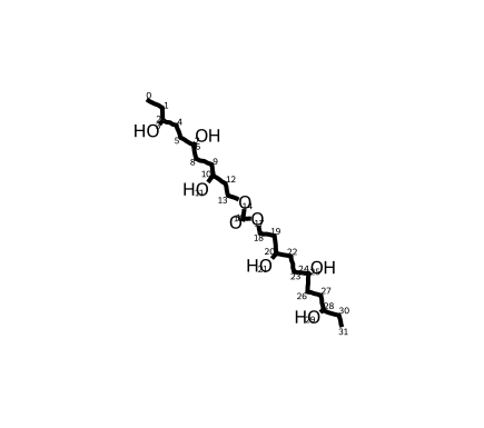 CCC(O)CCC(O)CCC(O)CCOC(=O)OCCC(O)CCC(O)CCC(O)CC